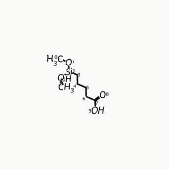 CO[SiH](CCCCC(=O)O)OC